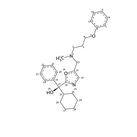 CN(CCCOc1ccccc1)Cc1cnc([C@@](O)(c2ccccc2)C2CCCCC2)o1